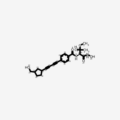 CSC(C)(C)[C@H](NC(=O)c1ccc(C#CC#CC2CCC(CO)C2)cc1)C(=O)NO